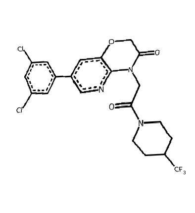 O=C(CN1C(=O)COc2cc(-c3cc(Cl)cc(Cl)c3)cnc21)N1CCC(C(F)(F)F)CC1